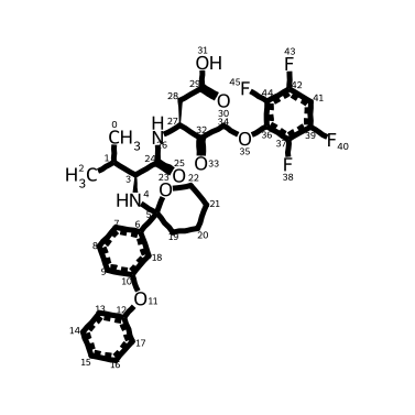 CC(C)[C@H](NC1(c2cccc(Oc3ccccc3)c2)CCCCO1)C(=O)N[C@@H](CC(=O)O)C(=O)COc1c(F)c(F)cc(F)c1F